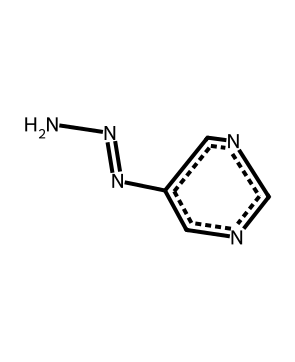 NN=Nc1cncnc1